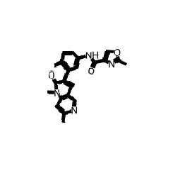 Cc1cc2c(cn1)cc(-c1cc(NC(=O)c3coc(C)n3)ccc1C)c(=O)n2C